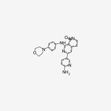 Nc1ccc(-c2cc3cc[nH]c(=O)c3c(Nc3ccc(N4CCOCC4)cc3)n2)cn1